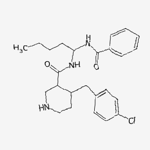 CCCCC(NC(=O)c1ccccc1)NC(=O)C1CNCCC1Cc1ccc(Cl)cc1